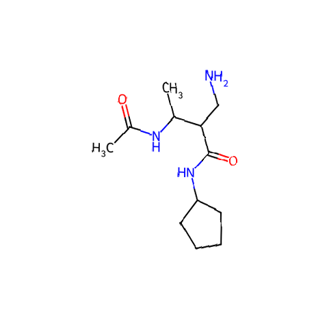 CC(=O)NC(C)C(CN)C(=O)NC1CCCC1